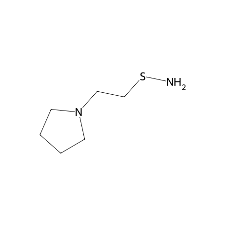 NSCCN1CCCC1